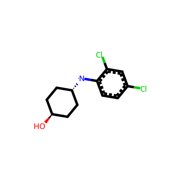 O[C@H]1CC[C@H]([N]c2ccc(Cl)cc2Cl)CC1